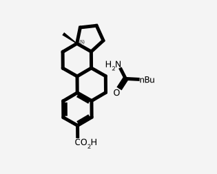 CCCCC(N)=O.C[C@@]12CCCC1C1CCc3cc(C(=O)O)ccc3C1CC2